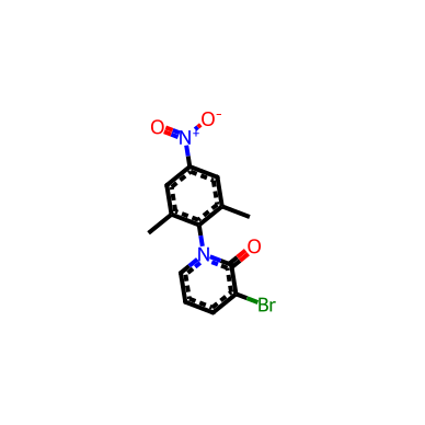 Cc1cc([N+](=O)[O-])cc(C)c1-n1cccc(Br)c1=O